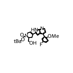 COc1ccc(F)cc1-c1ccnc2[nH]c(C3=CCN(C(=O)OC(C)(C)C)C(CO)C3)cc12